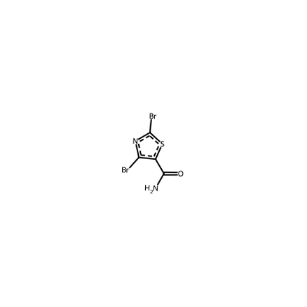 NC(=O)c1sc(Br)nc1Br